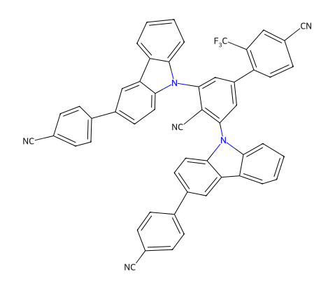 N#Cc1ccc(-c2ccc3c(c2)c2ccccc2n3-c2cc(-c3ccc(C#N)cc3C(F)(F)F)cc(-n3c4ccccc4c4cc(-c5ccc(C#N)cc5)ccc43)c2C#N)cc1